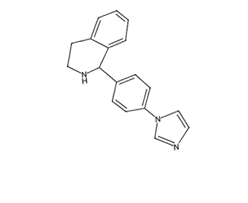 c1ccc2c(c1)CCNC2c1ccc(-n2ccnc2)cc1